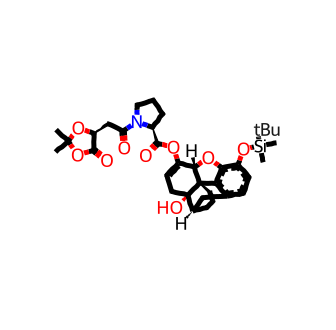 CC1(C)OC(=O)[C@H](CC(=O)N2CCC[C@H]2C(=O)OC2=CC[C@@]3(O)[C@@H]4CCC[C@@]35c3c(ccc(O[Si](C)(C)C(C)(C)C)c3O[C@@H]25)C4)O1